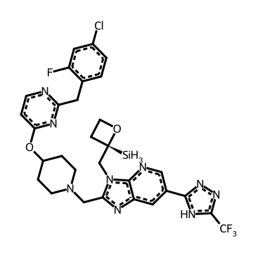 Fc1cc(Cl)ccc1Cc1nccc(OC2CCN(Cc3nc4cc(-c5nnc(C(F)(F)F)[nH]5)cnc4n3C[C@]3([SiH3])CCO3)CC2)n1